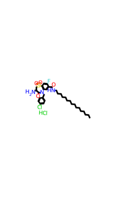 CCCCCCCCCCCCCCCCNC(=O)c1cc2c(cc1F)S(=O)(=O)C[C@H](N)C(=O)N2Cc1ccc(Cl)cc1.Cl